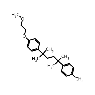 COCCOc1ccc(C(C)(C)CCC(C)(C)c2ccc(C)cc2)cc1